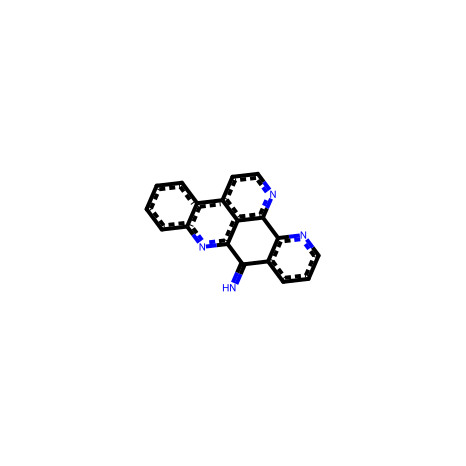 N=C1c2cccnc2-c2nccc3c2c1nc1ccccc13